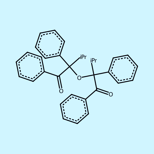 CC(C)C(OC(C(=O)c1ccccc1)(c1ccccc1)C(C)C)(C(=O)c1ccccc1)c1ccccc1